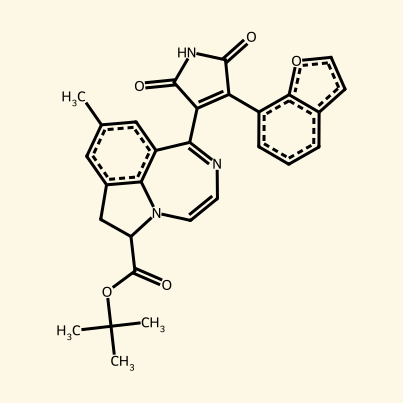 Cc1cc2c3c(c1)C(C1=C(c4cccc5ccoc45)C(=O)NC1=O)=NC=CN3C(C(=O)OC(C)(C)C)C2